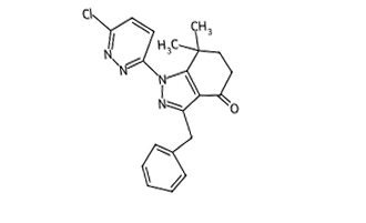 CC1(C)CCC(=O)c2c(Cc3ccccc3)nn(-c3ccc(Cl)nn3)c21